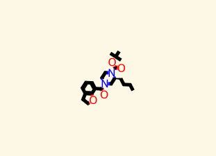 CCCC[C@H]1CN(C(=O)c2cccc3c2OCC3)CCN1C(=O)OC(C)(C)C